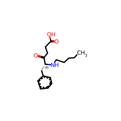 CCCCCN[C@H](Cc1ccccc1)C(=O)CCC(=O)O